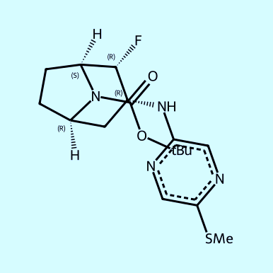 CSc1cnc(N[C@@H]2C[C@H]3CC[C@@H]([C@@H]2F)N3C(=O)OC(C)(C)C)cn1